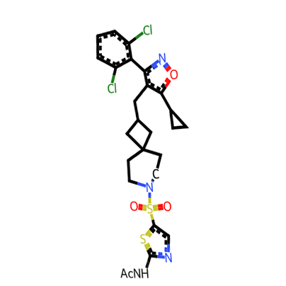 CC(=O)Nc1ncc(S(=O)(=O)N2CCC3(CC2)CC(Cc2c(-c4c(Cl)cccc4Cl)noc2C2CC2)C3)s1